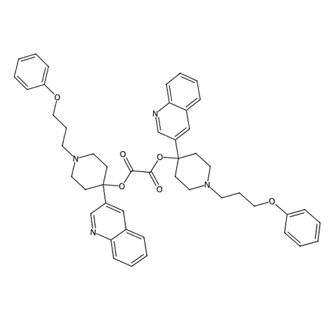 O=C(OC1(c2cnc3ccccc3c2)CCN(CCCOc2ccccc2)CC1)C(=O)OC1(c2cnc3ccccc3c2)CCN(CCCOc2ccccc2)CC1